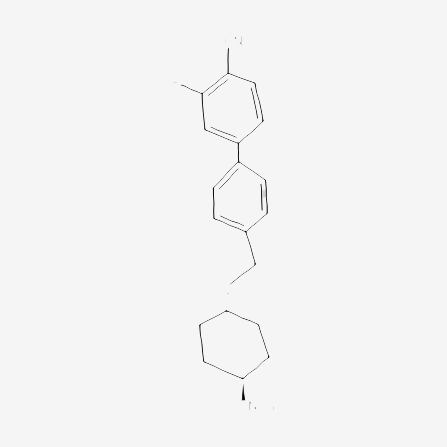 CCCCCCCCC[C@H]1CC[C@H](CCc2ccc(-c3ccc(C#N)c(F)c3)cc2)CC1